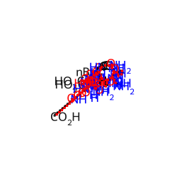 CCCC[C@H](NC(=O)[C@H](CNC(=O)CN(CC(=O)O)CC(=O)O)NC(=O)[C@H](Cc1c[nH]cn1)NC(=O)[C@H](CCC(N)=O)NC(=O)[C@H](CO)NC(=O)CNC(=O)COCCOCCNC(=O)CCCCCCCCCCCCCCC(=O)O)C(=O)N[C@H]1CCC(=O)NCCCC[C@@H](C(N)=O)NC(=O)[C@H](Cc2c[nH]c3ccccc23)NC(=O)[C@H](CCCNC(=N)N)NC(=O)[C@@H](Cc2ccccc2)NC(=O)[C@@H]2C[C@@H](O)CN2C1=O